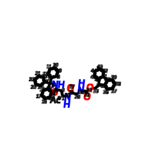 CC(=O)[C@H](CC(=O)NC(c1ccccc1)(c1ccccc1)c1ccccc1)NC(=O)CNC(=O)OCC1c2ccccc2-c2ccccc21